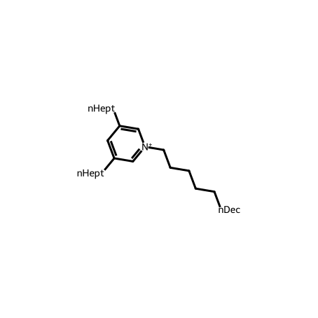 CCCCCCCCCCCCCCC[n+]1cc(CCCCCCC)cc(CCCCCCC)c1